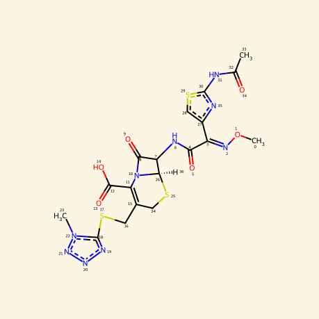 CO/N=C(/C(=O)NC1C(=O)N2C(C(=O)O)=C(CSc3nnnn3C)CS[C@H]12)c1csc(NC(C)=O)n1